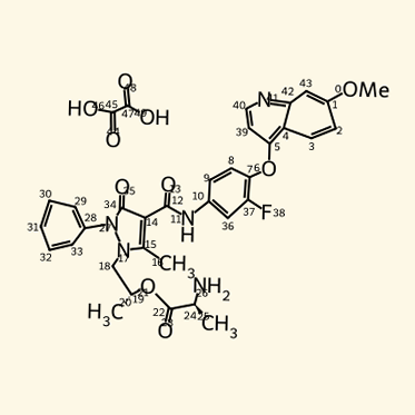 COc1ccc2c(Oc3ccc(NC(=O)c4c(C)n(C[C@@H](C)OC(=O)[C@H](C)N)n(-c5ccccc5)c4=O)cc3F)ccnc2c1.O=C(O)C(=O)O